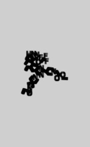 C=CC(=O)N1CC2(CCN(c3nc(C4CCN(CC(=O)OCC)CC4)nc4c(OCC(F)(F)F)c(-c5c(C)ccc6[nH]ncc56)c(C=C)cc34)CC2)C1